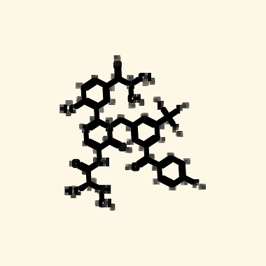 CN[C@@H](C)C(=O)Nc1cnc(-c2cc(C(=O)N(C)C)ccc2C)n(Cc2cc(C(=O)c3ccc(F)cc3)cc(C(F)(F)F)c2)c1=O